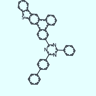 c1ccc(-c2ccc(-c3nc(-c4ccccc4)nc(-c4ccc5c(c4)c4ccccc4c4cc6c(cc54)sc4ccccc46)n3)cc2)cc1